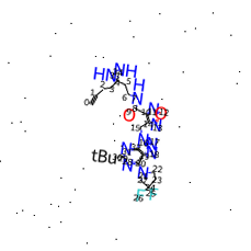 C#CCCC1(CCNC(=O)c2nonc2Cn2nnc3c(N4CCC(F)(F)C4)nc(C(C)(C)C)nc32)NN1